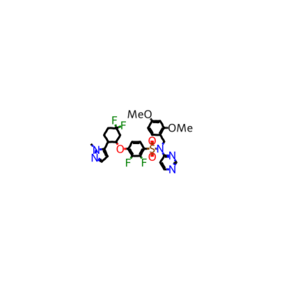 COc1ccc(CN(c2ccncn2)S(=O)(=O)c2ccc(OC3CC(F)(F)CCC3c3ccnn3C)c(F)c2F)c(OC)c1